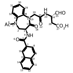 CC(=O)N1C[C@H](NC(=O)c2ccc3ccccc3c2)C(=O)N(CC(=O)N[C@H](C=O)CC(=O)O)c2ccccc21